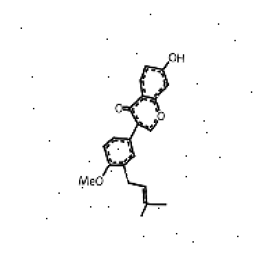 COc1ccc(-c2coc3cc(O)ccc3c2=O)cc1CC=C(C)C